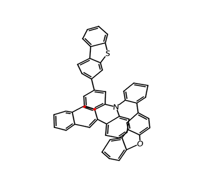 c1cc(-c2ccc3c(c2)sc2ccccc23)cc(N(c2ccccc2-c2ccc3ccccc3c2)c2ccccc2-c2ccc3oc4ccccc4c3c2)c1